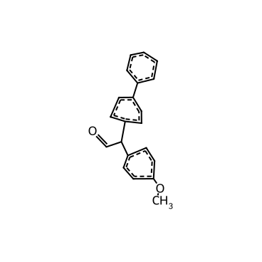 COc1ccc(C(C=O)c2ccc(-c3ccccc3)cc2)cc1